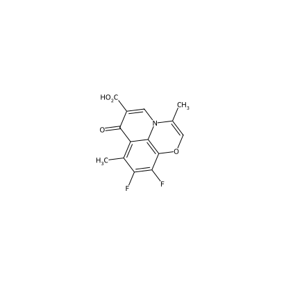 CC1=COc2c(F)c(F)c(C)c3c(=O)c(C(=O)O)cn1c23